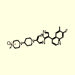 Cc1cc2c(-c3cnn4cc(N5CCC(N6CC[N+](C)([O-])CC6)CC5)cnc34)ccnc2cc1F